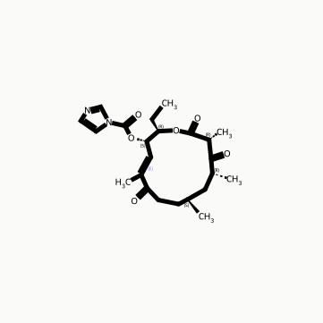 CC[C@H]1OC(=O)[C@H](C)C(=O)[C@H](C)C[C@@H](C)CCC(=O)/C(C)=C/[C@@H]1OC(=O)n1ccnc1